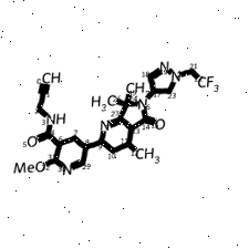 C#CCNC(=O)C1CC(C2CC(C)C3C(=O)N(C4C=NN(CC(F)(F)F)C4)C(C)(C)C3=N2)C=NC1OC